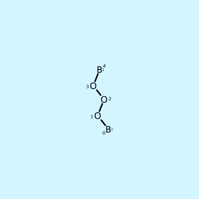 [B]OOO[B]